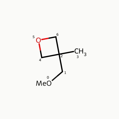 COCC1(C)COC1